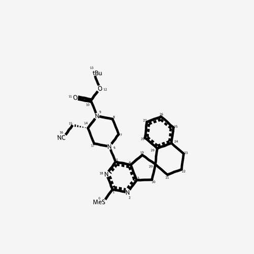 CSc1nc2c(c(N3CCN(C(=O)OC(C)(C)C)[C@@H](CC#N)C3)n1)CC1(CCCc3ccccc31)C2